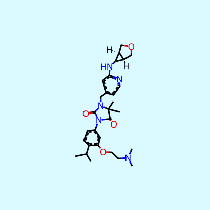 CC(C)c1ccc(N2C(=O)N(Cc3ccnc(NC4[C@H]5COC[C@@H]45)c3)C(C)(C)C2=O)cc1OCCN(C)C